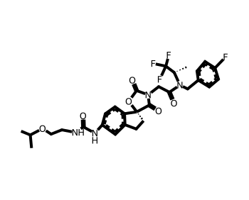 CC(C)OCCNC(=O)Nc1ccc2c(c1)CC[C@@]21OC(=O)N(CC(=O)N(Cc2ccc(F)cc2)[C@@H](C)C(F)(F)F)C1=O